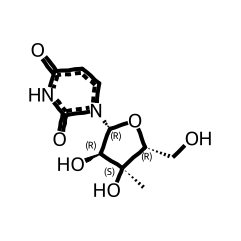 C[C@@]1(O)[C@@H](CO)O[C@@H](n2ccc(=O)[nH]c2=O)[C@@H]1O